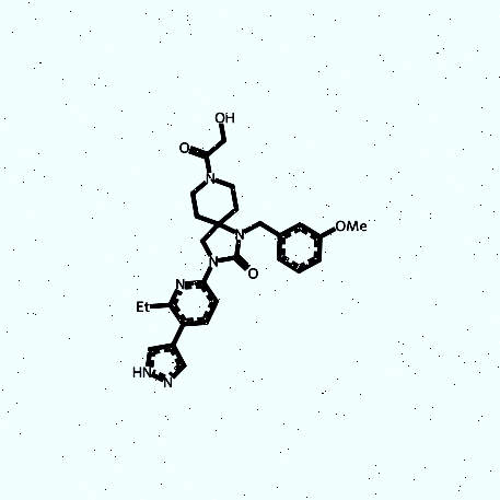 CCc1nc(N2CC3(CCN(C(=O)CO)CC3)N(Cc3cccc(OC)c3)C2=O)ccc1-c1cn[nH]c1